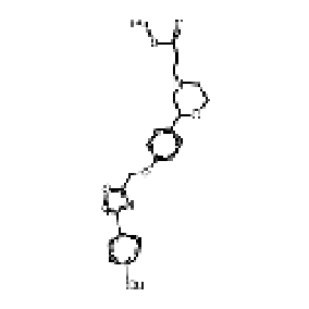 CC(C)(C)OC(=O)CCN1CCOC(c2ccc(OCc3nc(-c4ccc(C(C)(C)C)cc4)no3)cc2)C1